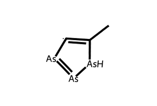 CC1=[C][As]=[As][AsH]1